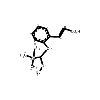 CCOC(Oc1ccccc1C=CC(=O)O)[Si](C)(C)C